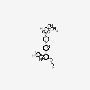 CC(C)(C)OC(=O)N1CCN(c2ccc(-c3cc(OCCF)cn4nc5[nH]ncc5c34)cn2)CC1